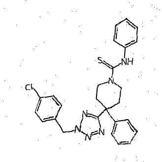 S=C(Nc1ccccc1)N1CCC(c2ccccc2)(c2nnn(Cc3ccc(Cl)cc3)n2)CC1